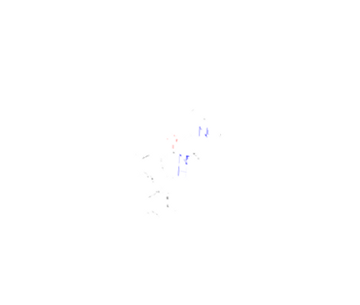 CC(C)N1CCC[C@@H](NC(=O)c2cccc(-c3ccccc3)c2)C1